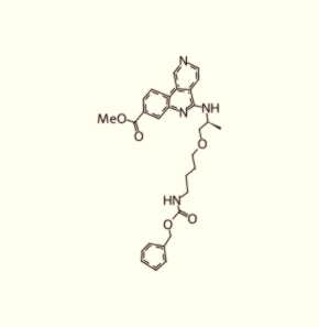 COC(=O)c1ccc2c(c1)nc(N[C@@H](C)COCCCCNC(=O)OCc1ccccc1)c1ccncc12